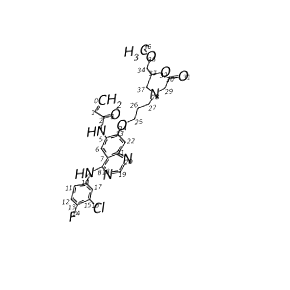 C=CC(=O)Nc1cc2c(Nc3ccc(F)c(Cl)c3)ncnc2cc1OCCCN1CC(=O)OC(COC)C1